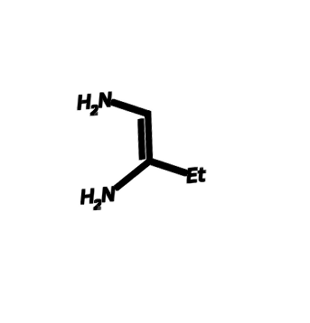 CCC(N)=CN